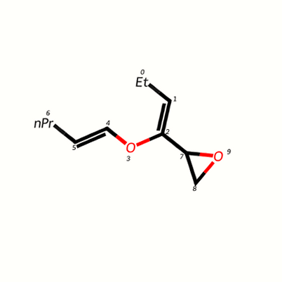 CC/C=C(\O/C=C/CCC)C1CO1